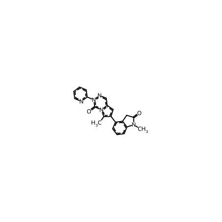 Cc1c(-c2cccc3c2CC(=O)N3C)cc2cnn(-c3ccccn3)c(=O)n12